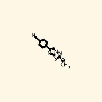 COc1nn2cc(-c3ccc(C#N)cc3)nc2s1